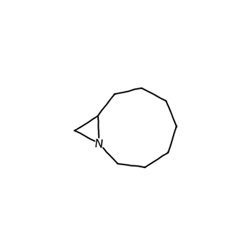 C1CCCC2CN2CCC1